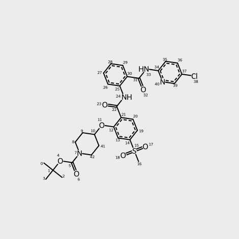 CC(C)(C)OC(=O)N1CCC(Oc2cc(S(C)(=O)=O)ccc2C(=O)Nc2ccccc2C(=O)Nc2ccc(Cl)cn2)CC1